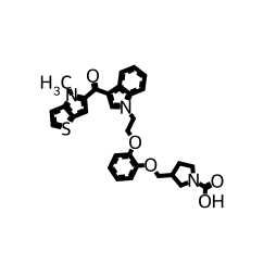 Cn1c(C(=O)c2cn(CCOc3ccccc3OCC3CCN(C(=O)O)C3)c3ccccc23)cc2sccc21